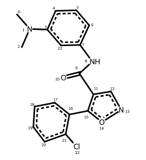 CN(C)c1cccc(NC(=O)c2cnoc2-c2ccccc2Cl)c1